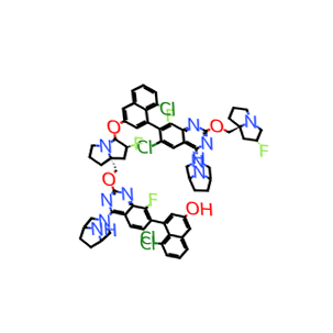 Oc1cc(-c2c(Cl)cc3c(N4CC5CCC(C4)N5)nc(OC[C@]45CCCN4C(Oc4cc(-c6c(Cl)cc7c(N8CC9CCC(C8)N9)nc(OC[C@@]89CCCN8C[C@H](F)C9)nc7c6F)c6c(Cl)cccc6c4)[C@@H](F)C5)nc3c2F)c2c(Cl)cccc2c1